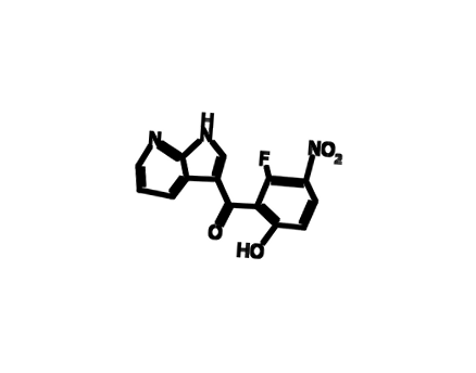 O=C(c1c(O)ccc([N+](=O)[O-])c1F)c1c[nH]c2ncccc12